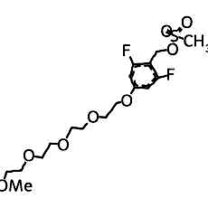 COCCOCCOCCOCCOc1cc(F)c(COS(C)(=O)=O)c(F)c1